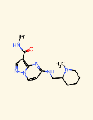 CC(C)NC(=O)c1cnn2ccc(NCC3CCCCN3C)nc12